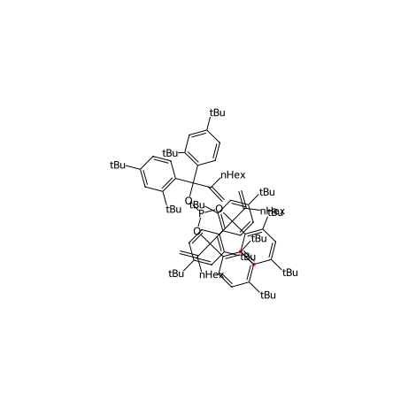 C=C(CCCCCC)C(OP(OC(C(=C)CCCCCC)(c1ccc(C(C)(C)C)cc1C(C)(C)C)c1ccc(C(C)(C)C)cc1C(C)(C)C)OC(C(=C)CCCCCC)(c1ccc(C(C)(C)C)cc1C(C)(C)C)c1ccc(C(C)(C)C)cc1C(C)(C)C)(c1ccc(C(C)(C)C)cc1C(C)(C)C)c1ccc(C(C)(C)C)cc1C(C)(C)C